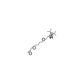 CC(C)[SiH](OCCOCCCCOCC1CO1)C(C)C